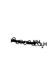 NC(OCCOCCOCCOCCOCCC(=O)CI)C(=O)O